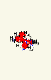 CC(=O)N[C@H]1[C@H](OCCOCCOc2cc(C(=O)NCCOCCOCCOP(OCCC#N)N(C(C)C)C(C)C)cc(OCCOCCO[C@@H]3O[C@H](COC(C)=O)[C@H](OC(C)=O)[C@H](OC(C)=O)[C@H]3NC(C)=O)c2OCCOCCO[C@@H]2O[C@H](COC(C)=O)[C@H](OC(C)=O)[C@H](OC(C)=O)[C@H]2NC(C)=O)O[C@H](COC(C)=O)[C@H](OC(C)=O)[C@@H]1OC(C)=O